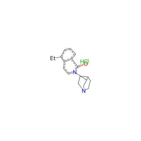 CCc1cccc2c(=O)n(C3CN4CCC3CC4)ccc12.Cl